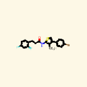 O=C(CCc1ccc(F)cc1F)Nc1scc(-c2ccc(Br)cc2)c1C(=O)O